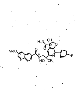 COc1cnc2ccc(C(=O)NCC(O)(c3cc4c(c(-c5ccc(F)cc5)n3)OC[C@]4(C)C(N)=O)C(F)(F)F)cc2c1